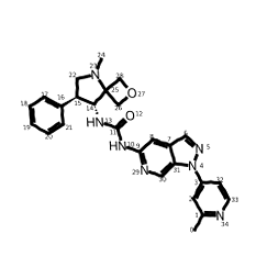 Cc1cc(-n2ncc3cc(NC(=O)N[C@@H]4[C@@H](c5ccccc5)CN(C)C45COC5)ncc32)ccn1